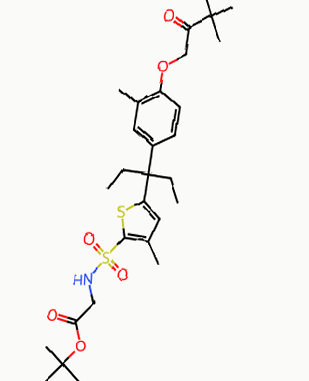 CCC(CC)(c1ccc(OCC(=O)C(C)(C)C)c(C)c1)c1cc(C)c(S(=O)(=O)NCC(=O)OC(C)(C)C)s1